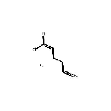 C=CCCC=C(Cl)Cl.[Pt]